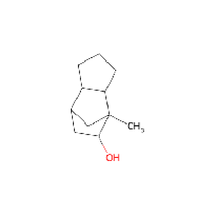 CC12CC(CC1O)C1CCCC12